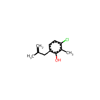 C=C(C)Cc1ccc(Cl)c(C)c1O